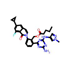 CCCCC(=O)OCc1c(-c2nc(N)nc(Nc3cnn(C)c3)n2)cccc1-n1ccc2cc(C3CC3)cc(F)c2c1=O